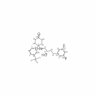 CC(C)(C)c1cccc(C2(NC[C@@H](O)CCc3cc(F)cc(F)c3)CCC(=O)CC2)c1